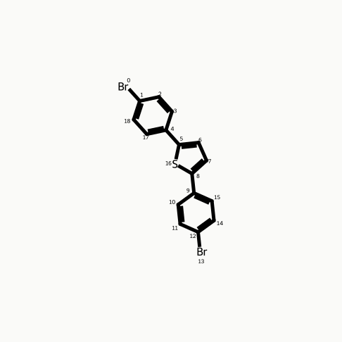 Brc1ccc(-c2ccc(-c3ccc(Br)cc3)s2)cc1